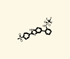 CS(=O)(=O)c1ccc(-c2nc3cc(-c4ccccc4NS(=O)(=O)C(F)(F)F)ccc3[nH]2)cc1